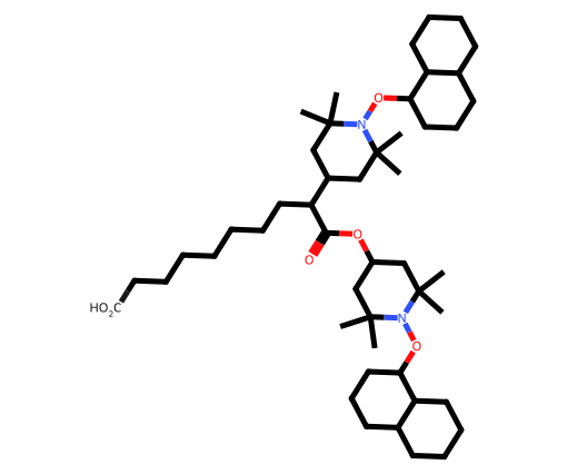 CC1(C)CC(OC(=O)C(CCCCCCCC(=O)O)C2CC(C)(C)N(OC3CCCC4CCCCC43)C(C)(C)C2)CC(C)(C)N1OC1CCCC2CCCCC21